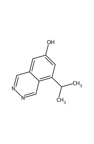 CC(C)c1cc(O)cc2cnncc12